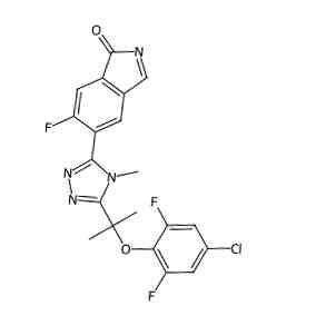 Cn1c(-c2cc3c(cc2F)C(=O)N=C3)nnc1C(C)(C)Oc1c(F)cc(Cl)cc1F